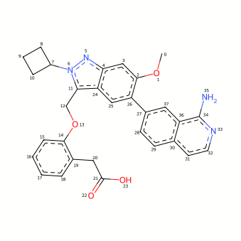 COc1cc2nn(C3CCC3)c(COc3ccccc3CC(=O)O)c2cc1-c1ccc2ccnc(N)c2c1